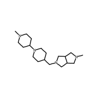 CN1CCC(N2CCC(CN3CC4CN(C)CC4C3)CC2)CC1